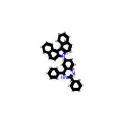 C1=Cc2c(ccc3c2c2c4c(ccc2n3C2C=C3C(=CC2)N=C(c2ccccc2)NC3c2ccccc2)C=CCC4)CC1